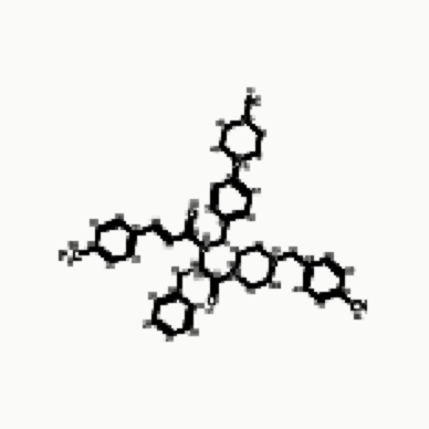 CC(=O)N1CCN(c2ccc(CN(C(=O)C=Cc3ccc(C(F)(F)F)cc3)[C@@H](Cc3ccccc3)C(=O)N3CCN(Cc4ccc(C#N)cc4)CC3)cc2)CC1